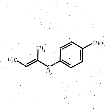 C/C=C(\C)[SiH2]c1ccc([C]=O)cc1